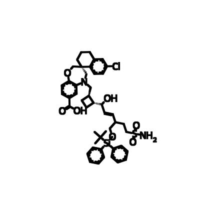 CC(C)(C)[Si](OCC(/C=C/C(O)[C@@H]1CC[C@H]1CN1C[C@@]2(CCCc3cc(Cl)ccc32)COc2ccc(C(=O)O)cc21)CCS(N)(=O)=O)(c1ccccc1)c1ccccc1